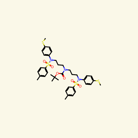 CSc1ccc(N(CCCN(CCCN(c2ccc(SC)cc2)S(=O)(=O)c2ccc(C)cc2)C(=O)OC(C)(C)C)S(=O)(=O)c2ccc(C)cc2)cc1